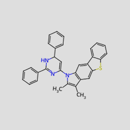 Cc1c(C)n(C2=CC(c3ccccc3)NC(c3ccccc3)=N2)c2cc3c(cc12)sc1ccccc13